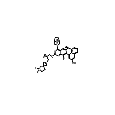 C#Cc1cccc2cc(O)cc(-c3c(F)cc4c(N5CC6CCC(C5)N6)nc(OCC5(CN6CC7(CCS(=O)(=O)C7)C6)CC5)nc4c3F)c12